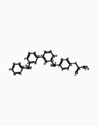 NC(=O)Cc1ccc(Nc2nccc(-c3cccc(Nc4ccccc4)c3)n2)cc1